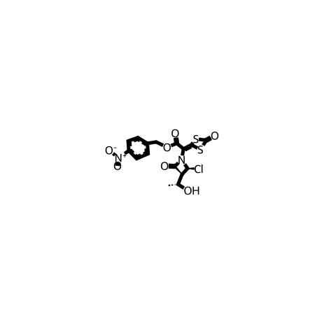 C[C@@H](O)[C@H]1C(=O)N(C(C(=O)OCc2ccc([N+](=O)[O-])cc2)=C2SC(=O)S2)[C@H]1Cl